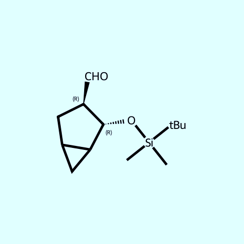 CC(C)(C)[Si](C)(C)O[C@@H]1C2CC2C[C@H]1C=O